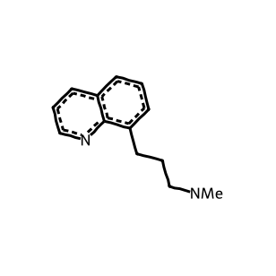 CNCCCc1cccc2cccnc12